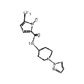 Cc1ccc(C(=O)NC2CCN(n3cccn3)CC2)n1Cl